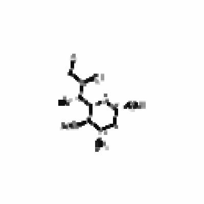 CC(=O)N[C@H]1[C@H]([C@H](O)[C@H](O)CO)O[C@H](C(=O)O)C[C@@H]1N